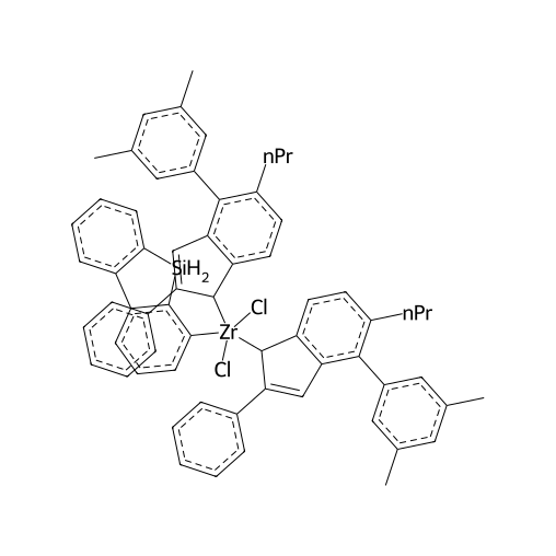 CCCc1ccc2c(c1-c1cc(C)cc(C)c1)C=C(c1ccccc1)[CH]2[Zr]([Cl])([Cl])([c]1cccc2c1[SiH2]c1ccccc1-2)[CH]1C(c2ccccc2)=Cc2c1ccc(CCC)c2-c1cc(C)cc(C)c1